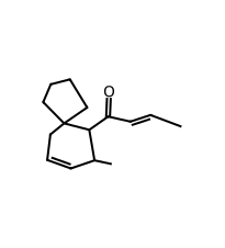 CC=CC(=O)C1C(C)C=CCC12CCCC2